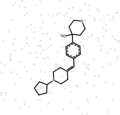 OC1(c2ccc(C=C3CCN(C4CCCC4)CC3)cc2)CCOCC1